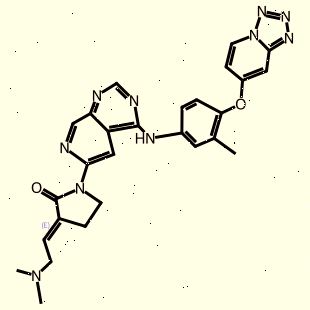 Cc1cc(Nc2ncnc3cnc(N4CC/C(=C\CN(C)C)C4=O)cc23)ccc1Oc1ccn2nnnc2c1